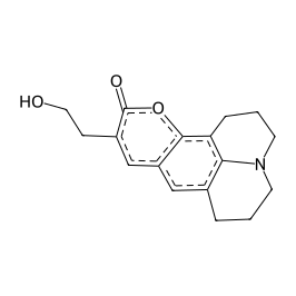 O=c1oc2c3c4c(cc2cc1CCO)CCCN4CCC3